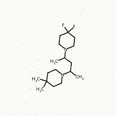 CC(CC(C)N1CCC(F)(F)CC1)N1CCC(C)(C)CC1